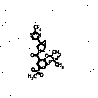 C[C@@H](Oc1ccc(S(C)(=O)=O)cc1C(=O)N1CC2CC2(c2csc(C(F)(F)F)n2)C1)C(C)(F)F